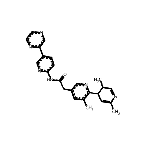 CC1=CC(c2ncc(CC(=O)Nc3ccc(-c4cnccn4)cn3)cc2C)C(C)C=N1